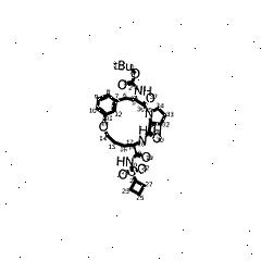 CC(C)(C)OC(=O)N[C@H]1Cc2cccc(c2)OCCC[C@H](C(=O)NS(=O)(=O)C2CCC2)NC(=O)[C@@H]2CCCN2C1=O